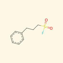 O=S(=O)(F)CCCc1ccccc1